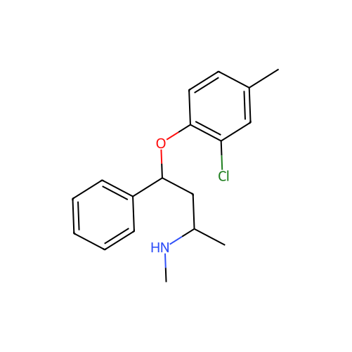 CNC(C)CC(Oc1ccc(C)cc1Cl)c1ccccc1